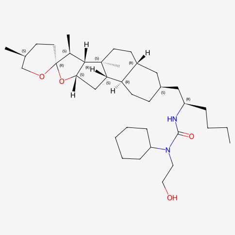 CCCC[C@H](C[C@H]1CC[C@@H]2[C@H](CC[C@]3(C)[C@@H]4[C@H](C[C@@H]23)O[C@]2(CC[C@H](C)CO2)[C@H]4C)C1)NC(=O)N(CCO)C1CCCCC1